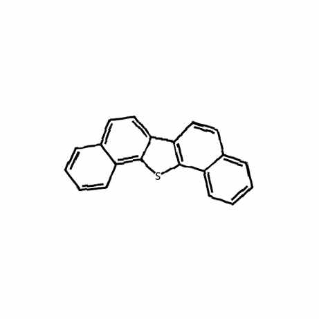 c1ccc2c(c1)ccc1c3ccc4ccccc4c3sc21